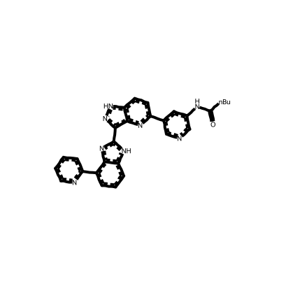 CCCCC(=O)Nc1cncc(-c2ccc3[nH]nc(-c4nc5c(-c6ccccn6)cccc5[nH]4)c3n2)c1